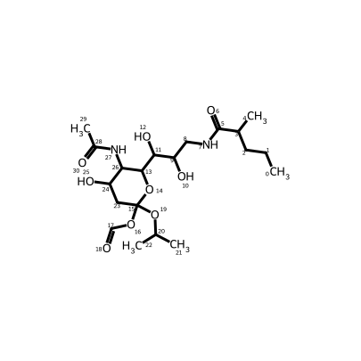 CCCC(C)C(=O)NCC(O)C(O)C1OC(OC=O)(OC(C)C)CC(O)C1NC(C)=O